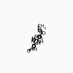 CCN1CCN(C(=O)c2ccc(C(=N)c3c(N)ncnc3Nc3ccc(NC=O)cc3)cc2)CC1